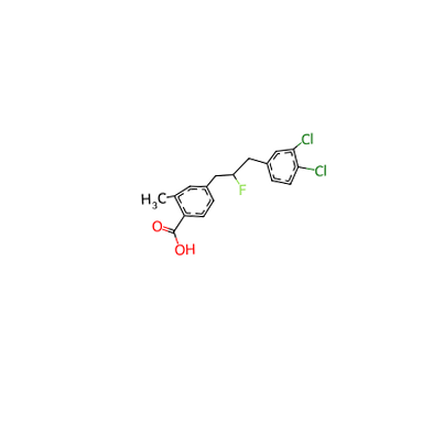 Cc1cc(CC(F)Cc2ccc(Cl)c(Cl)c2)ccc1C(=O)O